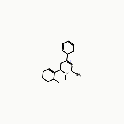 CC1CCCC=C1C(C/C(=N\CN)C1C=CC=CC1)N(C)C